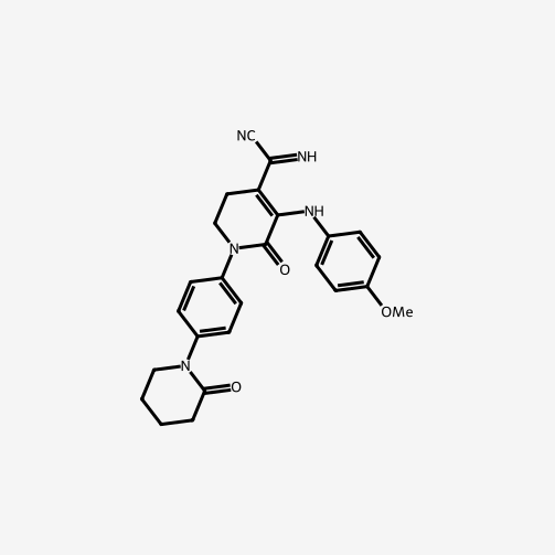 COc1ccc(NC2=C(C(=N)C#N)CCN(c3ccc(N4CCCCC4=O)cc3)C2=O)cc1